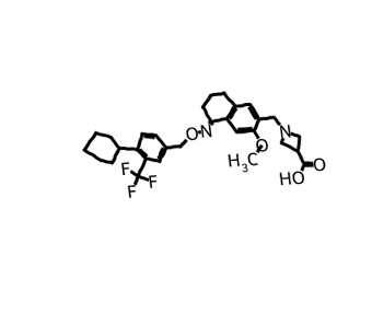 COc1cc2c(cc1CN1CC(C(=O)O)C1)CCCC2=NOCc1ccc(C2CCCCC2)c(C(F)(F)F)c1